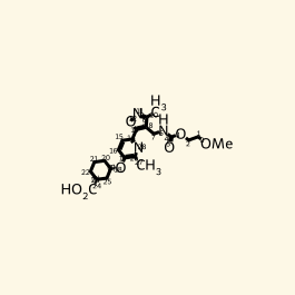 COCCOC(=O)NCc1c(C)noc1-c1ccc(O[C@H]2CCC[C@H](C(=O)O)C2)c(C)n1